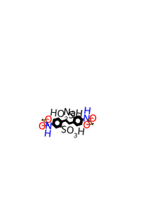 CS(=O)(=O)Nc1ccc(CCc2ccc(NS(C)(=O)=O)cc2S(=O)(=O)O)c(S(=O)(=O)O)c1.[NaH]